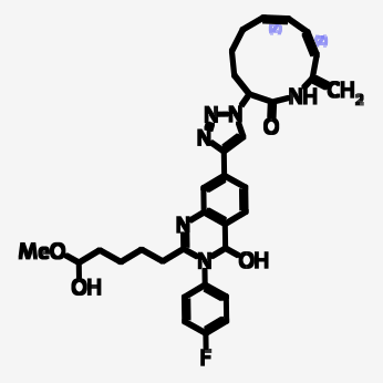 C=C1/C=C\C=C/CCCC(n2cc(-c3ccc4c(c3)N=C(CCCCC(O)OC)N(c3ccc(F)cc3)C4O)nn2)C(=O)N1